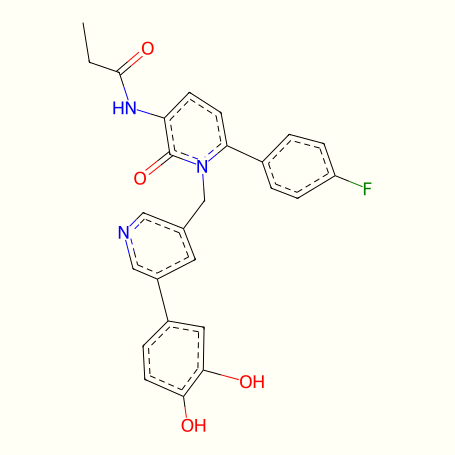 CCC(=O)Nc1ccc(-c2ccc(F)cc2)n(Cc2cncc(-c3ccc(O)c(O)c3)c2)c1=O